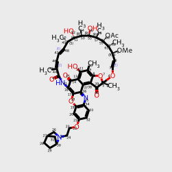 CO[C@H]1/C=C/O[C@@]2(C)Oc3c(C)c(O)c4c(=O)c(c5oc6cc(OCCN7CC8CCC7C8)ccc6nc-5c4c3C2=O)NC(=O)/C(C)=C\C=C\[C@H](C)[C@H](O)[C@@H](C)[C@@H](O)[C@@H](C)[C@H](OC(C)=O)[C@@H]1C